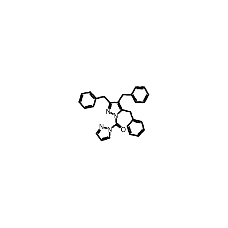 O=C(n1cccn1)n1nc(Cc2ccccc2)c(Cc2ccccc2)c1Cc1ccccc1